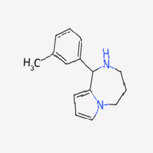 Cc1cccc(C2NCCCn3cccc32)c1